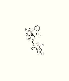 C[C@H](c1ccccc1C(F)(F)F)N1C(=O)[C@@H]2CC1CN2C[C@H](N)C(=O)N1C2C[C@H]2C[C@H]1C#N